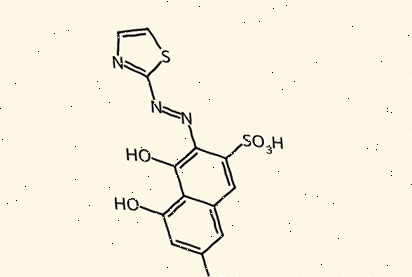 O=S(=O)(O)c1cc(O)c2c(O)c(/N=N/c3nccs3)c(S(=O)(=O)O)cc2c1